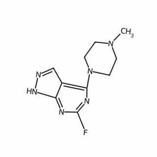 CN1CCN(c2nc(F)nc3[nH]ncc23)CC1